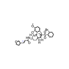 COc1ccc2c3c1O[C@@H]1[C@@H](NC(=O)/C=C/c4ccoc4)CC[C@]4(O)[C@H](C2)N(S(=O)(=O)c2ccccc2Br)CC[C@@]314